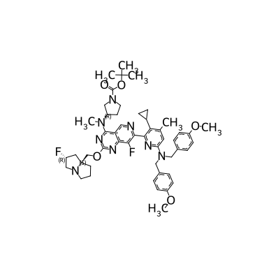 COc1ccc(CN(Cc2ccc(OC)cc2)c2cc(C)c(C3CC3)c(-c3ncc4c(N(C)[C@@H]5CCN(C(=O)OC(C)(C)C)C5)nc(OC[C@@]56CCCN5C[C@H](F)C6)nc4c3F)n2)cc1